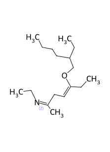 CCCCC(CC)COC(=CC/C(C)=N\CC)CC